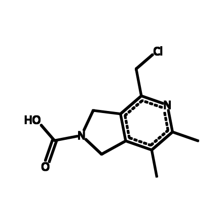 Cc1nc(CCl)c2c(c1C)CN(C(=O)O)C2